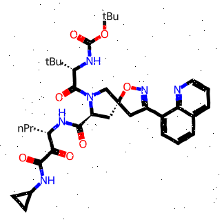 CCC[C@H](NC(=O)[C@@H]1C[C@]2(CC(c3cccc4cccnc34)=NO2)CN1C(=O)[C@@H](NC(=O)OC(C)(C)C)C(C)(C)C)C(=O)C(=O)NC1CC1